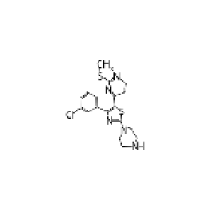 CSc1nccc(-c2sc(N3CCNCC3)nc2-c2cccc(Cl)c2)n1